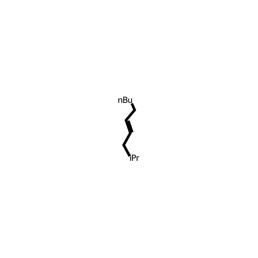 [CH2]CCCCC=CCC(C)C